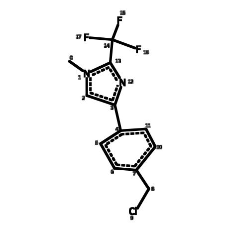 Cn1cc(-c2ccc(CCl)cc2)nc1C(F)(F)F